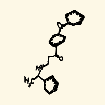 CC(NCCC(=O)c1ccc(Oc2ccccc2)cc1)c1ccccc1